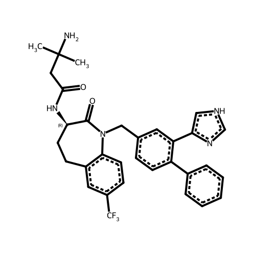 CC(C)(N)CC(=O)N[C@@H]1CCc2cc(C(F)(F)F)ccc2N(Cc2ccc(-c3ccccc3)c(-c3c[nH]cn3)c2)C1=O